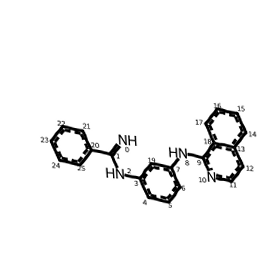 N=C(Nc1cccc(Nc2nccc3ccccc23)c1)c1ccccc1